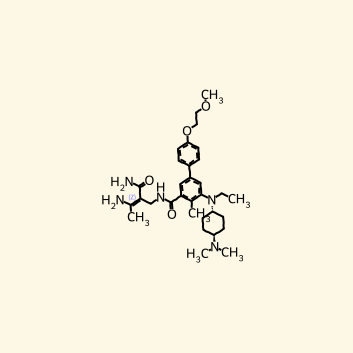 CCN(c1cc(-c2ccc(OCCOC)cc2)cc(C(=O)NC/C(C(N)=O)=C(\C)N)c1C)[C@H]1CC[C@H](N(C)C)CC1